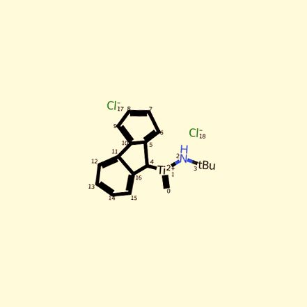 [CH2]=[Ti+2]([NH]C(C)(C)C)[CH]1c2ccccc2-c2ccccc21.[Cl-].[Cl-]